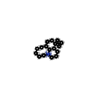 c1ccc(-c2cccc(-c3cccc(-c4cccc(-c5ccc(-c6nc(-c7cccc(-c8cccc(-c9cccc(-c%10ccccc%10)c9)c8)c7)nc(-c7cccc(-c8cccc(-c9cccc(-c%10cccc(-c%11ccc%12c(c%11)C%11(c%13ccccc%13-c%13ccccc%13%11)c%11ccccc%11-%12)c%10)c9)c8)c7)n6)cc5)c4)c3)c2)cc1